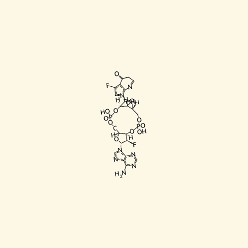 Nc1ncnc2c1ncn2[C@@H]1O[C@@H]2COP(=O)(O)O[C@@H]3[C@H](O)[C@@H](COP(=O)(O)O[C@H]2[C@H]1F)O[C@H]3n1cc(F)c2c1N=CCC2=O